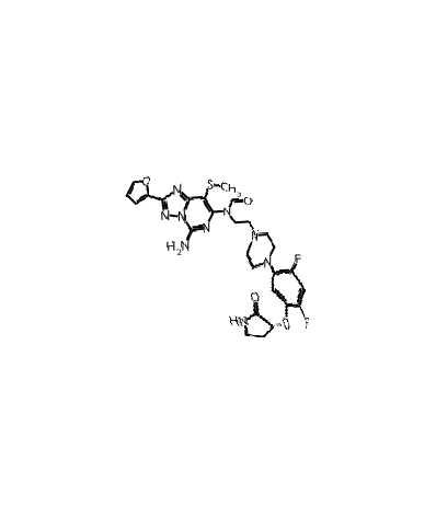 CSc1c(N(C=O)CCN2CCN(c3cc(O[C@@H]4CCNC4=O)c(F)cc3F)CC2)nc(N)n2nc(-c3ccco3)nc12